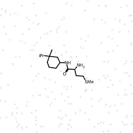 CSCC[C@H](N)C(=O)NC1CCCC(C)(C(C)C)C1